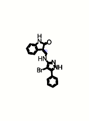 O=C1Nc2ccccc2/C1=C\Nc1n[nH]c(-c2ccccc2)c1Br